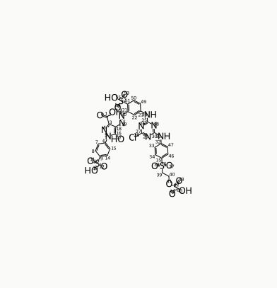 O=C(O)c1nn(-c2ccc(S(=O)(=O)O)cc2)c(O)c1/N=N/c1cc(Nc2nc(Cl)nc(Nc3ccc(S(=O)(=O)CCOS(=O)(=O)O)cc3)n2)ccc1S(=O)(=O)O